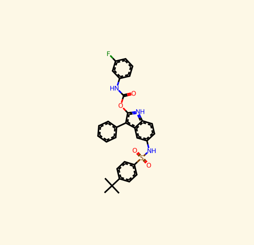 CC(C)(C)c1ccc(S(=O)(=O)Nc2ccc3[nH]c(OC(=O)Nc4cccc(F)c4)c(-c4ccccc4)c3c2)cc1